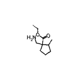 CCOC(=O)C1(CN)CCCC1C